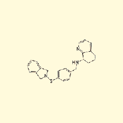 c1ccc2c(c1)CN(Sc1ccc(CNC3CCCc4cccnc43)cc1)C2